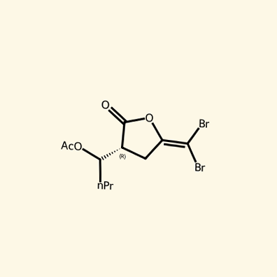 CCCC(OC(C)=O)[C@H]1CC(=C(Br)Br)OC1=O